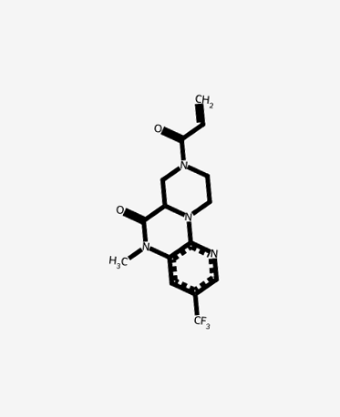 C=CC(=O)N1CCN2c3ncc(C(F)(F)F)cc3N(C)C(=O)C2C1